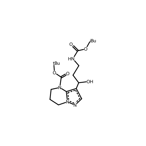 CCC(C)OC(=O)NCCC(O)c1cnn2c1N(C(=O)OC(C)(C)C)CCC2